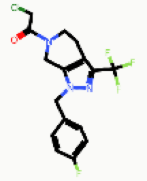 O=C(CCl)N1CCc2c(C(F)(F)F)nn(Cc3ccc(F)cc3)c2C1